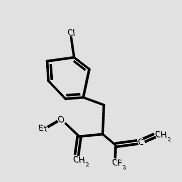 C=C=C(C(Cc1cccc(Cl)c1)C(=C)OCC)C(F)(F)F